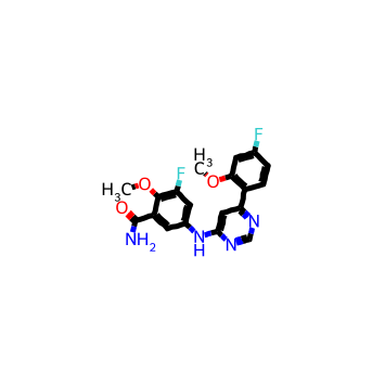 COc1cc(F)ccc1-c1cc(Nc2cc(F)c(OC)c(C(N)=O)c2)ncn1